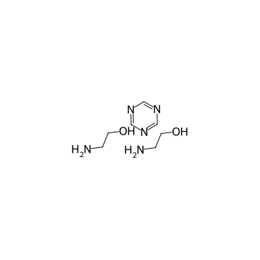 NCCO.NCCO.c1ncncn1